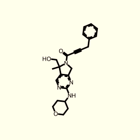 CC1(CO)c2cnc(NC3CCOCC3)nc2CN1C(=O)C#CCc1ccccc1